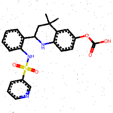 CC1(C)CC(c2ccccc2NS(=O)(=O)c2cccnc2)Nc2ccc(OC(=O)O)cc21